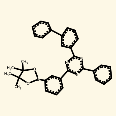 CC1(C)OB(c2cccc(-c3nc(-c4ccccc4)nc(-c4cccc(-c5ccccc5)c4)n3)c2)OC1(C)C